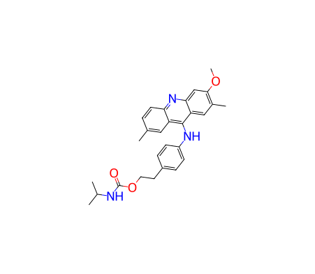 COc1cc2nc3ccc(C)cc3c(Nc3ccc(CCOC(=O)NC(C)C)cc3)c2cc1C